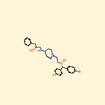 [O-][S+](CCN1CCC(NCC(O)Cc2ccccc2)CC1)C(c1ccc(F)cc1)c1ccc(F)cc1